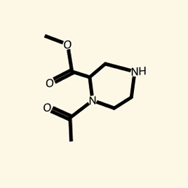 COC(=O)C1CNCCN1C(C)=O